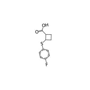 O=C(O)C1CCC1Sc1ccc(F)cc1